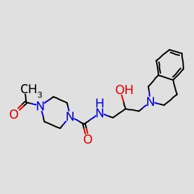 CC(=O)N1CCN(C(=O)NCC(O)CN2CCc3ccccc3C2)CC1